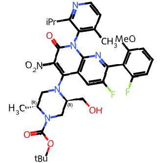 COc1cccc(F)c1-c1nc2c(cc1F)c(N1C[C@@H](C)N(C(=O)OC(C)(C)C)C[C@@H]1CO)c([N+](=O)[O-])c(=O)n2-c1c(C)ccnc1C(C)C